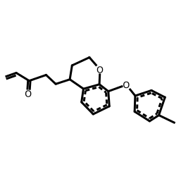 C=CC(=O)CCC1CCOc2c(Oc3ccc(C)cc3)cccc21